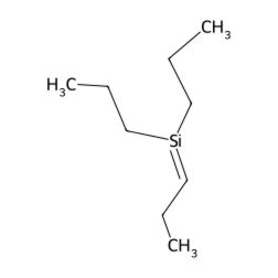 CCC=[Si](CCC)CCC